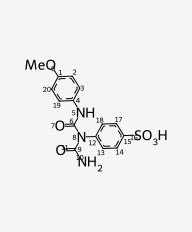 COc1ccc(NC(=O)N(C(N)=O)c2ccc(S(=O)(=O)O)cc2)cc1